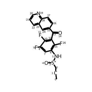 CCC[S+]([O-])Nc1cc(F)c(F)c(C(=O)c2ccc3ncccc3c2)c1F